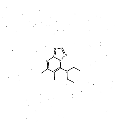 CCN(CC)c1c(C)c(C)nc2ncnn12